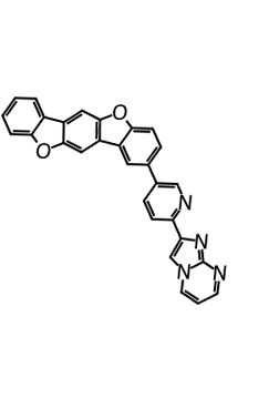 c1ccc2c(c1)oc1cc3c(cc12)oc1ccc(-c2ccc(-c4cn5cccnc5n4)nc2)cc13